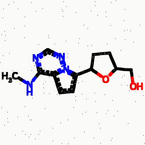 CNc1ncnn2c(C3CCC(CO)O3)ccc12